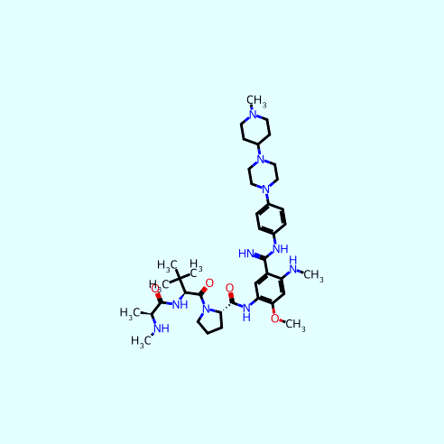 CNc1cc(OC)c(NC(=O)[C@@H]2CCCN2C(=O)[C@@H](NC(=O)[C@H](C)NC)C(C)(C)C)cc1C(=N)Nc1ccc(N2CCN(C3CCN(C)CC3)CC2)cc1